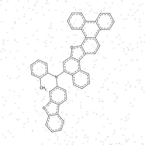 Cc1ccccc1N(c1ccc2c(c1)oc1ccccc12)c1cc2oc3c(ccc4c5ccccc5c5ccccc5c43)c2c2ccccc12